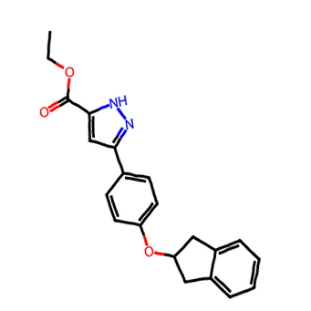 CCOC(=O)c1cc(-c2ccc(OC3Cc4ccccc4C3)cc2)n[nH]1